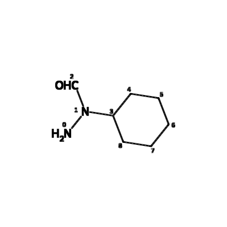 NN(C=O)C1CCCCC1